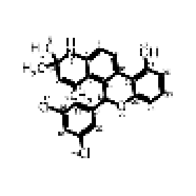 CC1=CC(C)(C)Nc2ccc3c(c21)C(c1cc(Cl)cc(Cl)c1)Oc1cccc(O)c1-3